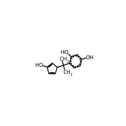 CC(C)(c1ccc(O)cc1O)C1C=CC(O)=C1